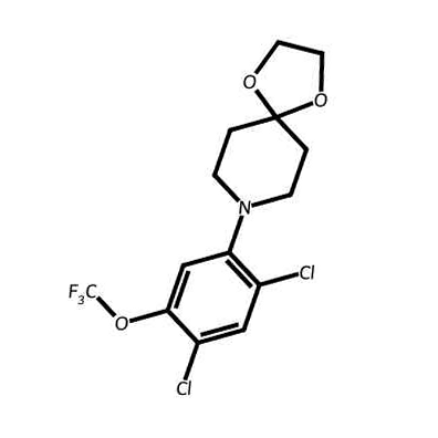 FC(F)(F)Oc1cc(N2CCC3(CC2)OCCO3)c(Cl)cc1Cl